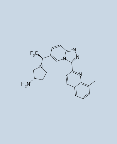 Cc1cccc2ccc(-c3nnc4ccc([C@@H](N5CC[C@H](N)C5)C(F)(F)F)cn34)nc12